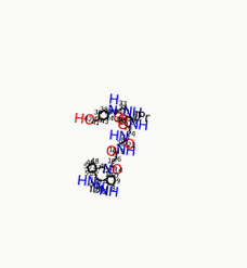 CCC(C)N/C1=C(\N=N)c2ccccc2N(C(=O)CCC(=O)NCC(=O)NCC(=O)N[C@H](C(=O)N[C@@H](C)C(=O)Nc2ccc(CO)cc2)C(C)C)Cc2ccccc21